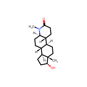 CN1C(=O)CC[C@@H]2[C@H]3CC[C@]4(C)[C@@H](O)CC[C@H]4[C@@H]3CC[C@H]21